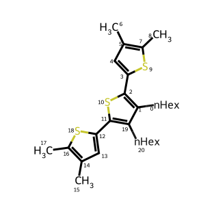 CCCCCCc1c(-c2cc(C)c(C)s2)sc(-c2cc(C)c(C)s2)c1CCCCCC